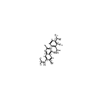 Cc1nc(N[C@H](C)c2cccc(C(F)F)c2F)c2cc(Br)c(NC(C)C)cc2n1